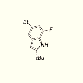 CCc1cc(F)c2[nH]c(C(C)(C)C)cc2c1